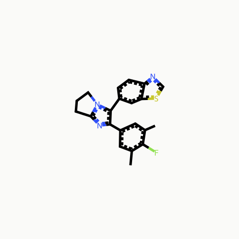 Cc1cc(-c2nc3n(c2-c2ccc4ncsc4c2)CCC3)cc(C)c1F